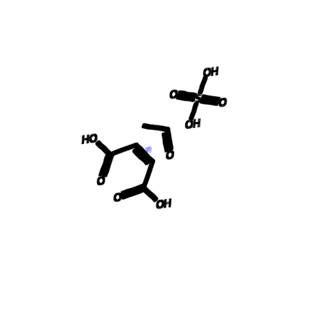 CC=O.O=C(O)/C=C\C(=O)O.O=S(=O)(O)O